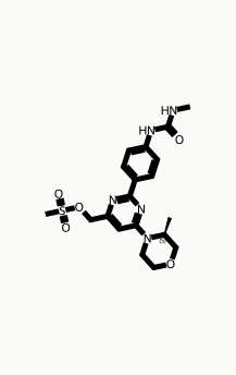 CNC(=O)Nc1ccc(-c2nc(COS(C)(=O)=O)cc(N3CCOC[C@@H]3C)n2)cc1